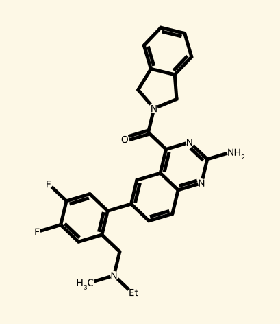 CCN(C)Cc1cc(F)c(F)cc1-c1ccc2nc(N)nc(C(=O)N3Cc4ccccc4C3)c2c1